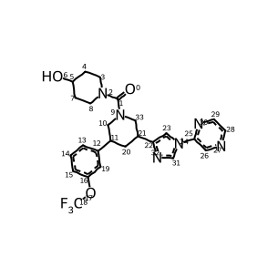 O=C(N1CCC(O)CC1)N1CC(c2cccc(OC(F)(F)F)c2)CC(c2cn(-c3cnccn3)cn2)C1